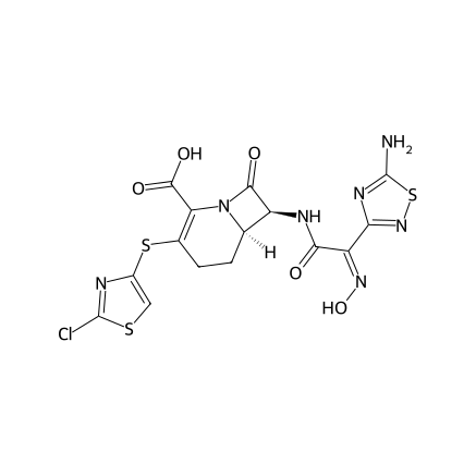 Nc1nc(/C(=N/O)C(=O)N[C@@H]2C(=O)N3C(C(=O)O)=C(Sc4csc(Cl)n4)CC[C@H]23)ns1